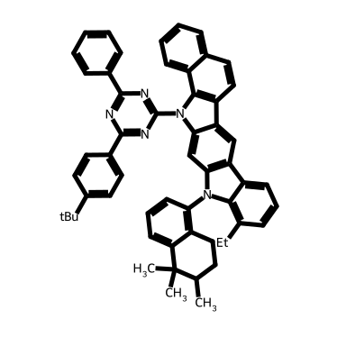 CCc1cccc2c3cc4c5ccc6ccccc6c5n(-c5nc(-c6ccccc6)nc(-c6ccc(C(C)(C)C)cc6)n5)c4cc3n(-c3cccc4c3CCC(C)C4(C)C)c12